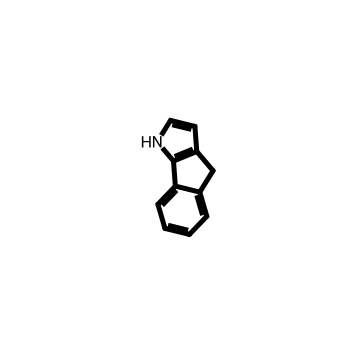 c1ccc2c(c1)Cc1cc[nH]c1-2